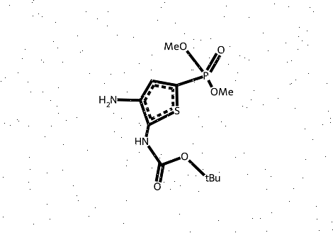 COP(=O)(OC)c1cc(N)c(NC(=O)OC(C)(C)C)s1